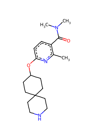 Cc1nc(OC2CCC3(CCNCC3)CC2)ccc1C(=O)N(C)C